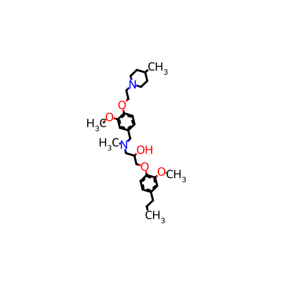 CCCc1ccc(OCC(O)CN(C)Cc2ccc(OCCN3CCC(C)CC3)c(OC)c2)c(OC)c1